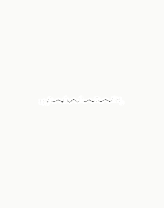 CCCCOCCCOCCCOCCCOO